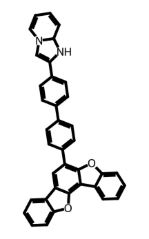 C1=CC2NC(c3ccc(-c4ccc(-c5cc6c7ccccc7oc6c6c5oc5ccccc56)cc4)cc3)=CN2C=C1